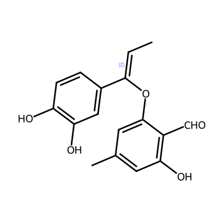 C/C=C(\Oc1cc(C)cc(O)c1C=O)c1ccc(O)c(O)c1